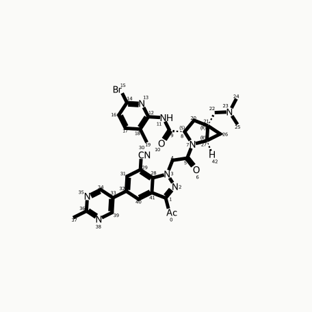 CC(=O)c1nn(CC(=O)N2[C@H](C(=O)Nc3nc(Br)ccc3C)C[C@@]3(CN(C)C)C[C@@H]23)c2c(C#N)cc(-c3cnc(C)nc3)cc12